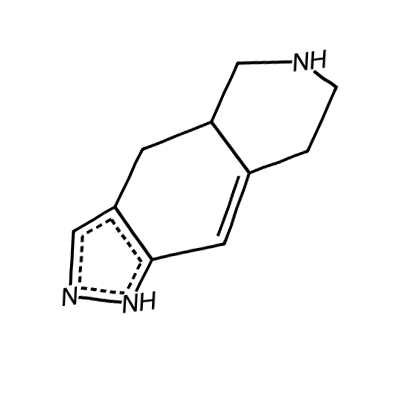 C1=C2CCNCC2Cc2cn[nH]c21